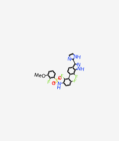 COc1cccc(S(=O)(=O)Nc2ccc(F)c(-c3ccc4c(-c5ncc[nH]5)n[nH]c4c3F)c2F)c1F